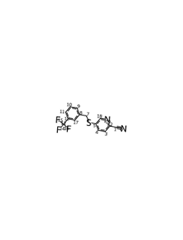 N#Cc1ccc(SCc2cccc(C(F)(F)F)c2)cn1